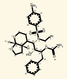 CC(C)CN([C@@H](C1CCO[C@H]2OCC[C@@H]12)[C@@H](O)[C@H](Cc1ccccc1)OC(N)=O)S(=O)(=O)c1ccc(N)cc1